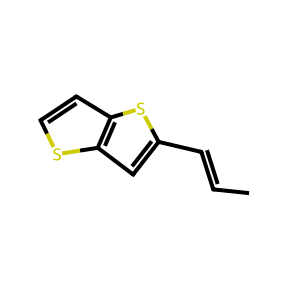 C/C=C/c1cc2sccc2s1